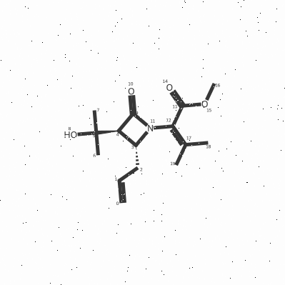 C=CC[C@@H]1[C@@H](C(C)(C)O)C(=O)N1C(C(=O)OC)=C(C)C